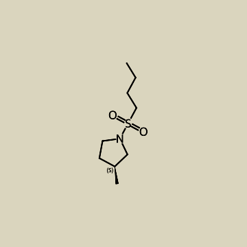 CCCCS(=O)(=O)N1CC[C@H](C)C1